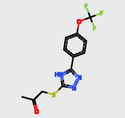 CC(=O)CSc1nnc(-c2ccc(OC(F)(F)F)cc2)[nH]1